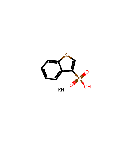 O=S(=O)(O)c1csc2ccccc12.[KH]